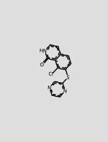 O=c1[nH]ccc2ccc(Sc3cnccn3)c(Cl)c12